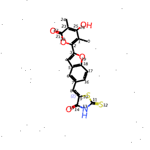 Cc1c(-c2cc3cc(/C=C4\SC(=S)NC4=O)ccc3o2)oc(=O)c(C)c1O